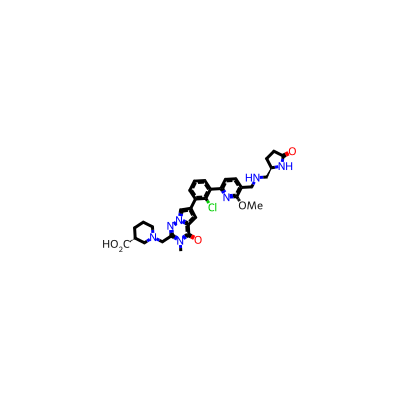 COc1nc(-c2cccc(-c3cc4c(=O)n(C)c(CN5CCC[C@@H](C(=O)O)C5)nn4c3)c2Cl)ccc1CNC[C@H]1CCC(=O)N1